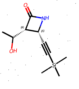 CC(O)[C@@H]1C(=O)N[C@@H]1C#C[Si](C)(C)C